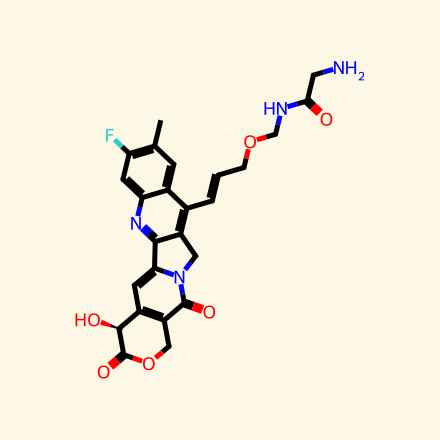 Cc1cc2c(/C=C/COCNC(=O)CN)c3c(nc2cc1F)-c1cc2c(c(=O)n1C3)COC(=O)[C@H]2O